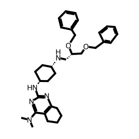 CN(C)c1nc(N[C@H]2CC[C@@H](NC[C@@H](COCc3ccccc3)OCc3ccccc3)CC2)nc2c1CCCC2